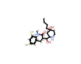 CCCCC1(O)CCNC(C(O)C(Cc2cc(F)cc(F)c2)C(=O)NC)C1